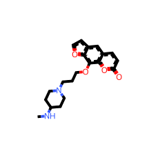 CNC1CCN(CCCOc2c3occc3cc3ccc(=O)oc23)CC1